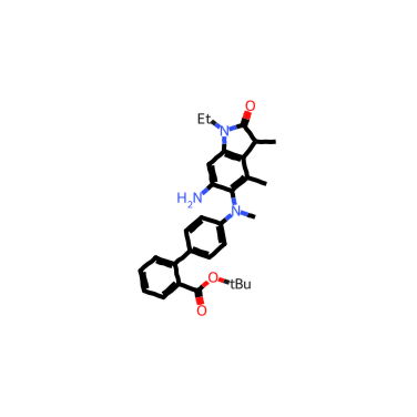 CCN1C(=O)C(C)c2c1cc(N)c(N(C)c1ccc(-c3ccccc3C(=O)OC(C)(C)C)cc1)c2C